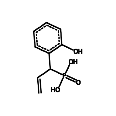 C=CC(c1ccccc1O)P(=O)(O)O